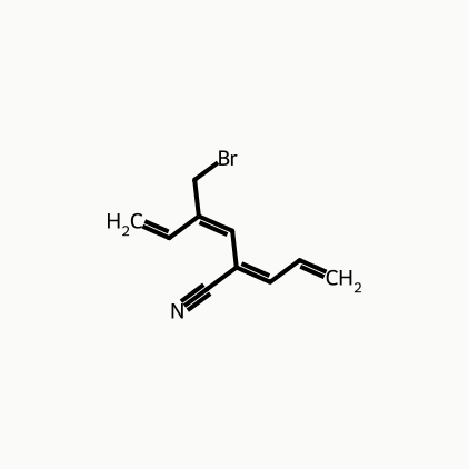 C=C/C=C(C#N)\C=C(/C=C)CBr